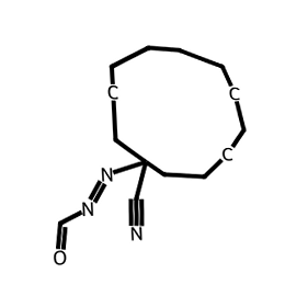 N#CC1(/N=N/C=O)CCCCCCCCCCC1